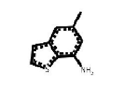 Cc1cc(N)c2sccc2c1